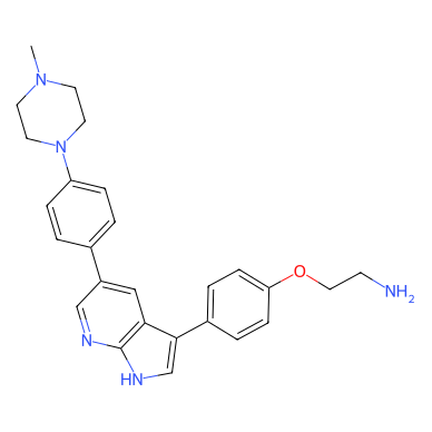 CN1CCN(c2ccc(-c3cnc4[nH]cc(-c5ccc(OCCN)cc5)c4c3)cc2)CC1